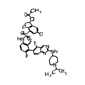 CC(=O)O[C@@H]1COc2c1cc(Cl)cc2S(=O)(=O)Nc1ccc(F)c(-c2ccc3nc(NC4CCN(C(C)C)CC4)ncc3c2F)c1F